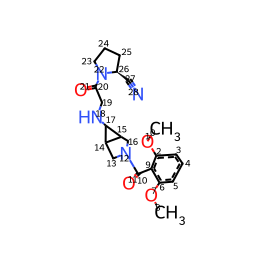 COc1cccc(OC)c1C(=O)N1CC2C(C1)C2NCC(=O)N1CCC[C@H]1C#N